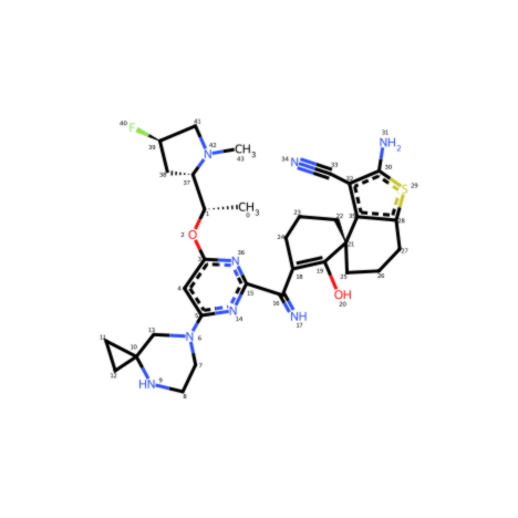 C[C@H](Oc1cc(N2CCNC3(CC3)C2)nc(C(=N)C2=C(O)[C@@]3(CCC2)CCCc2sc(N)c(C#N)c23)n1)[C@@H]1C[C@@H](F)CN1C